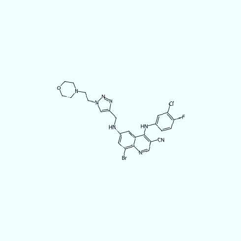 N#Cc1cnc2c(Br)cc(NCc3cn(CCN4CCOCC4)nn3)cc2c1Nc1ccc(F)c(Cl)c1